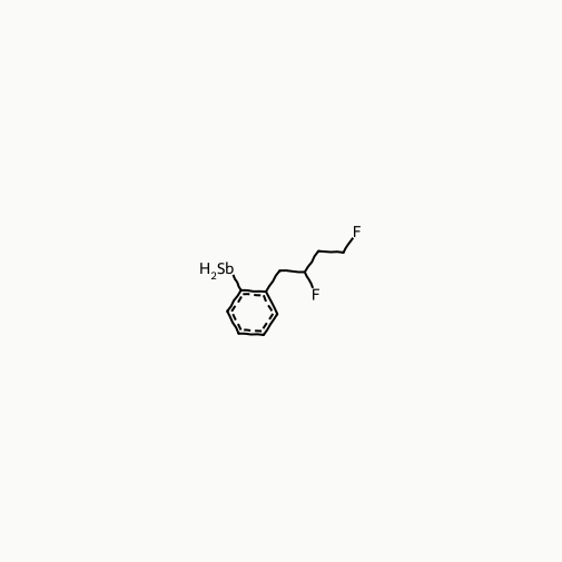 FCCC(F)Cc1cccc[c]1[SbH2]